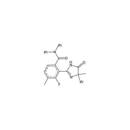 Cc1ccc(C(=O)N(C(C)C)C(C)C)c(C2=NC(C)(C(C)C)C(=O)N2)c1F